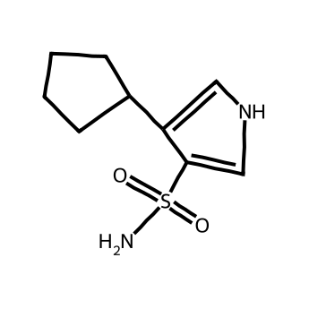 NS(=O)(=O)c1c[nH]cc1C1CCCC1